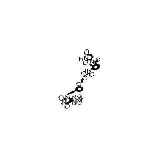 Cn1c(=O)c2c(nc(S(C)(=O)=O)n2C)n(CC#Cc2cccc(OCCOCC(=O)Nc3cccc4c3CN(C3CCC(=O)NC3=O)C4=O)c2)c1=O